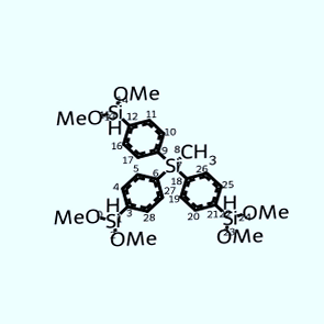 CO[SiH](OC)c1ccc([Si](C)(c2ccc([SiH](OC)OC)cc2)c2ccc([SiH](OC)OC)cc2)cc1